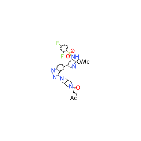 COc1ncc(-c2ccc3ncnc(N4CC5CN(C(=O)/C=C/C(C)=O)CC5C4)c3c2)cc1NS(=O)(=O)c1ccc(F)cc1F